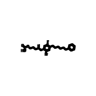 O=[PH](O)OCCCNCc1cc(F)c(CCCCCCc2ccccc2)cc1Br